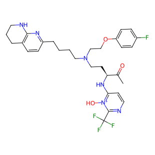 CC(=O)[C@H](CCN(CCCCc1ccc2c(n1)NCCC2)CCOc1ccc(F)cc1)Nc1ccnc(C(F)(F)F)[n+]1O